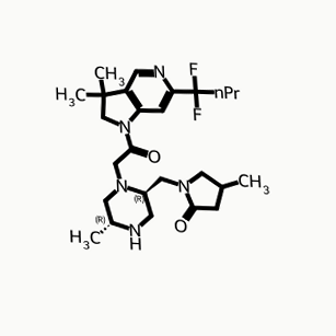 CCCC(F)(F)c1cc2c(cn1)C(C)(C)CN2C(=O)CN1C[C@@H](C)NC[C@@H]1CN1CC(C)CC1=O